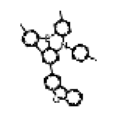 Cc1ccc(N2c3ccc(C)cc3B3c4cc(C)ccc4-c4cc(-c5ccc6oc7ccccc7c6c5)cc2c43)cc1